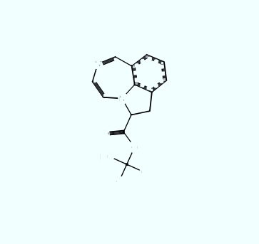 CC(C)(C)OC(=O)C1Cc2cccc3c2N1C=CN=C3